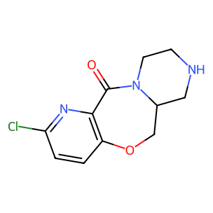 O=C1c2nc(Cl)ccc2OCC2CNCCN12